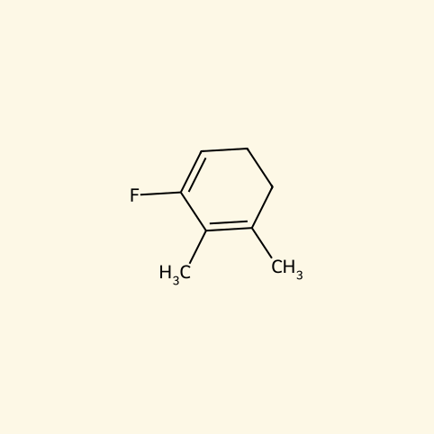 CC1=C(C)C(F)=CCC1